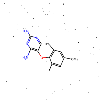 COc1cc(C)c(Oc2cnc(N)nc2N)c(C(C)C)c1